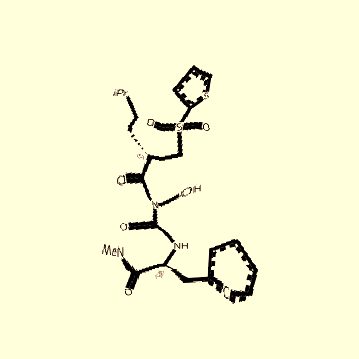 CNC(=O)[C@H](Cc1ccccc1)NC(=O)N(O)C(=O)[C@H](CCC(C)C)CS(=O)(=O)c1cccs1